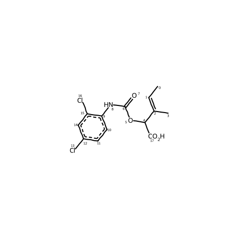 CC=C(C)C(OC(=O)Nc1ccc(Cl)cc1Cl)C(=O)O